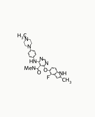 CNC(=O)c1c(Nc2ccc(N3CCN(C)CC3)cc2)ncnc1Oc1ccc2[nH]c(C)cc2c1F